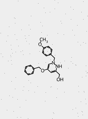 COc1ccc(CN2C=C(OCc3ccccc3)C=C(CO)N2)cc1